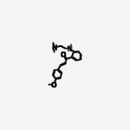 COc1ccc(C=CC(=O)c2ccccc2N(C)CCN(C)C)cc1